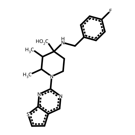 CC1C(C)C(NCc2ccc(F)cc2)(C(=O)O)CCN1c1ncc2ccsc2n1